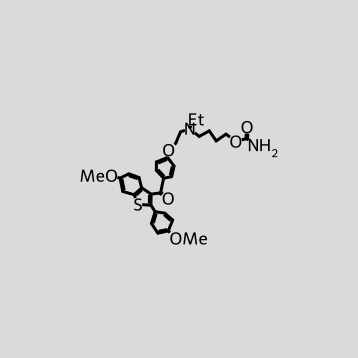 CCN(CCCCOC(N)=O)CCOc1ccc(C(=O)c2c(-c3ccc(OC)cc3)sc3cc(OC)ccc23)cc1